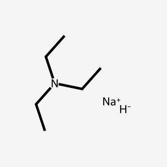 CCN(CC)CC.[H-].[Na+]